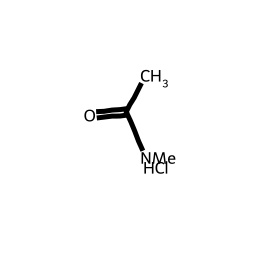 CNC(C)=O.Cl